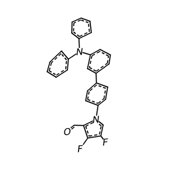 O=Cc1c(F)c(F)cn1-c1ccc(-c2cccc(N(c3ccccc3)c3ccccc3)c2)cc1